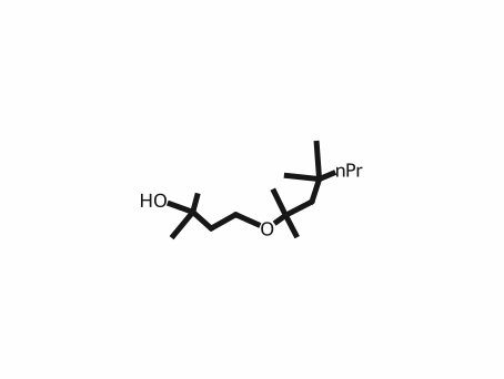 CCCC(C)(C)CC(C)(C)OCCC(C)(C)O